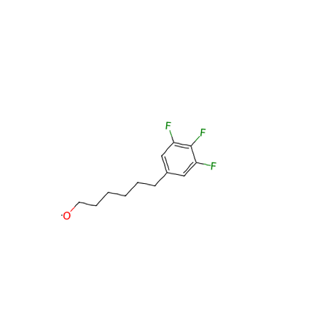 [O]CCCCCCc1cc(F)c(F)c(F)c1